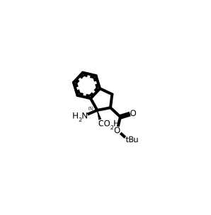 CC(C)(C)OC(=O)C1Cc2ccccc2[C@]1(N)C(=O)O